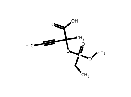 CC#CC(C)(OP(=O)(CC)OC)C(=O)O